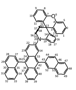 c1ccc2c(c1)Oc1ccccc1C21c2ccccc2N(c2ccc3c(-c4cccc5ccccc45)c4ccccc4c(-c4ccc5ccccc5c4)c3c2)c2ccccc21